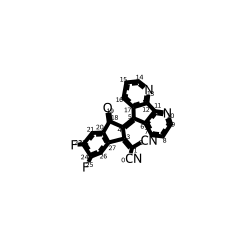 N#CC(C#N)=C1C(=C2c3cccnc3-c3ncccc32)C(=O)c2cc(F)c(F)cc21